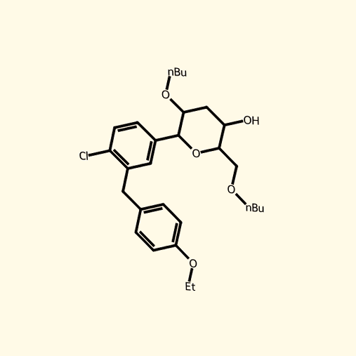 CCCCOCC1OC(c2ccc(Cl)c(Cc3ccc(OCC)cc3)c2)C(OCCCC)CC1O